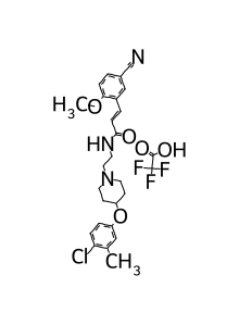 COc1ccc(C#N)cc1C=CC(=O)NCCN1CCC(Oc2ccc(Cl)c(C)c2)CC1.O=C(O)C(F)(F)F